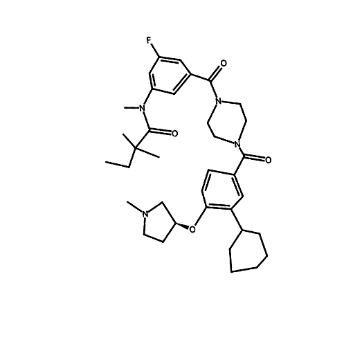 CCC(C)(C)C(=O)N(C)c1cc(F)cc(C(=O)N2CCN(C(=O)c3ccc(O[C@H]4CCN(C)C4)c(C4CCCCC4)c3)CC2)c1